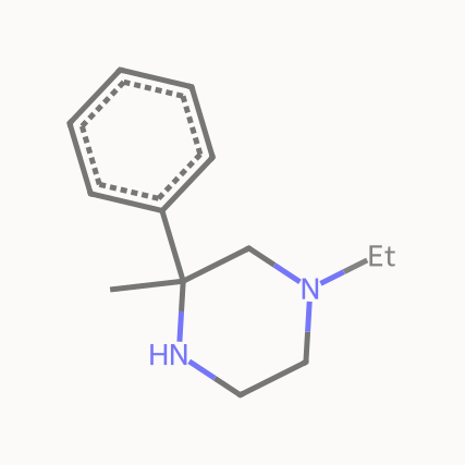 CCN1CCNC(C)(c2ccccc2)C1